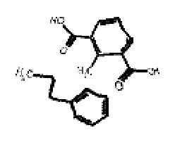 CCCc1ccccc1.Cc1c(C(=O)O)cccc1C(=O)O